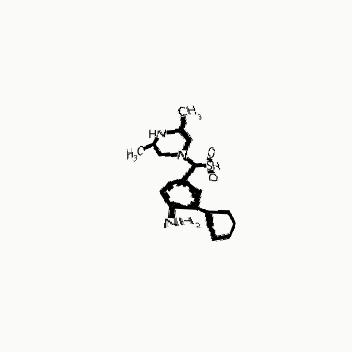 CC1CN(C(c2ccc(N)c(C3=CCCCC3)c2)[SH](=O)=O)CC(C)N1